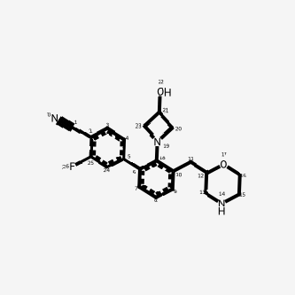 N#Cc1ccc(-c2cccc(CC3CNCCO3)c2N2CC(O)C2)cc1F